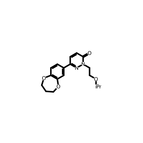 CC(C)OCCn1nc(-c2ccc3c(c2)OCCCO3)ccc1=O